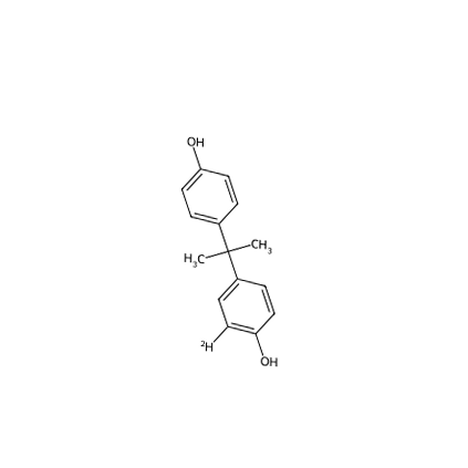 [2H]c1cc(C(C)(C)c2ccc(O)cc2)ccc1O